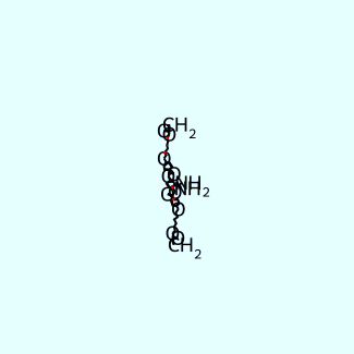 C=CC(=O)OCCCCCCOc1ccc(C(=O)Oc2ccc(OC(=O)c3ccc(OCCCCCCOC(=O)C=C)cc3)c(C(=N)N)c2)cc1